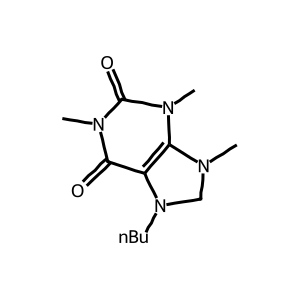 CCCCN1CN(C)c2c1c(=O)n(C)c(=O)n2C